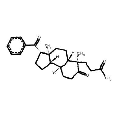 CC(=O)CC[C@@]1(C)C(=O)CC[C@H]2[C@@H]3CC[C@H](C(=O)c4ccccc4)[C@@]3(C)CC[C@@H]21